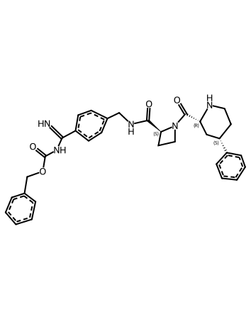 N=C(NC(=O)OCc1ccccc1)c1ccc(CNC(=O)[C@@H]2CCN2C(=O)[C@H]2C[C@@H](c3ccccc3)CCN2)cc1